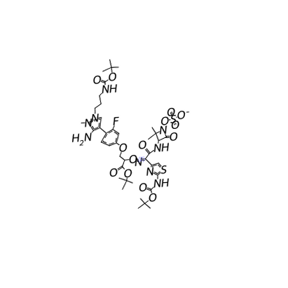 C[n+]1c(N)c(-c2ccc(OCC(O/N=C(\C(=O)NC3C(=O)N(OS(=O)(=O)[O-])C3(C)C)c3csc(NC(=O)OC(C)(C)C)n3)C(=O)OC(C)(C)C)cc2F)cn1CCCNC(=O)OC(C)(C)C